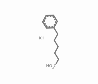 O=C(O)CCCCCc1ccccc1.[KH]